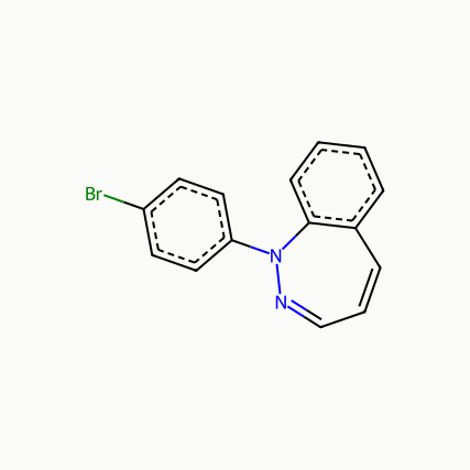 Brc1ccc(N2N=CC=Cc3ccccc32)cc1